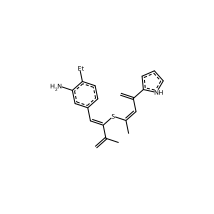 C=C(C)/C(=C/c1ccc(CC)c(N)c1)S/C(C)=C\C(=C)c1ccc[nH]1